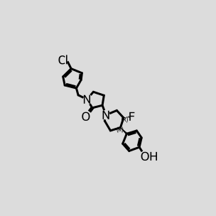 O=C1C(N2CC[C@H](c3ccc(O)cc3)[C@@H](F)C2)CCN1Cc1ccc(Cl)cc1